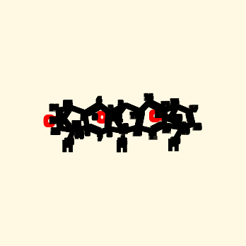 O=C1C2c3cc4c(cc3[C@@H]1c1cc3c(cc12)C1C=C[C@H]3C1=O)[C@@H]1C=CC4C1=O